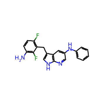 Nc1ccc(F)c(Cc2c[nH]c3ncc(Nc4ccccc4)cc23)c1F